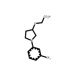 O=C(O)COC1CCN(c2cccc(C(F)(F)F)c2)C1